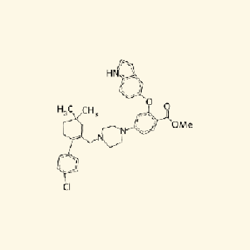 COC(=O)c1ccc(N2CCN(CC3=C(c4ccc(Cl)cc4)CCC(C)(C)C3)CC2)cc1Oc1ccc2[nH]ccc2c1